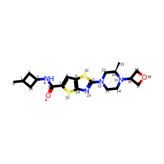 CC1CC(NC(=O)c2cc3sc(N4CCN(C5COC5)[C@H](C)C4)nc3s2)C1